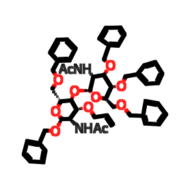 C=CCO[C@@H]1[C@@H](NC(C)=O)[C@@H](OCc2ccccc2)O[C@H](COCc2ccccc2)[C@H]1O[C@@H]1O[C@H](COCc2ccccc2)[C@@H](OCc2ccccc2)[C@H](OCc2ccccc2)[C@H]1NC(C)=O